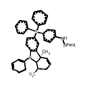 CCCCCNc1ccc(S(c2ccccc2)(c2ccccc2)c2ccc3c(c2)[C@@]2(C)C=CCC(C)C2N3C2=CC=CCC2)cc1